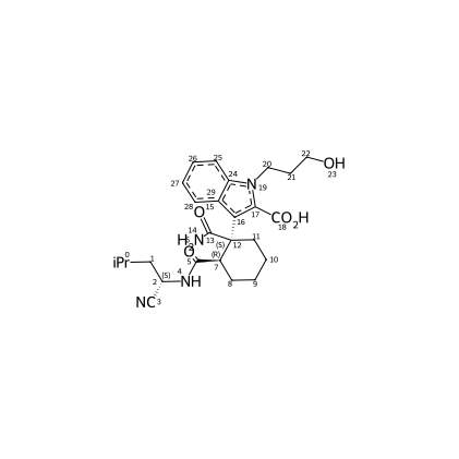 CC(C)C[C@@H](C#N)NC(=O)[C@@H]1CCCC[C@@]1(C(N)=O)c1c(C(=O)O)n(CCCO)c2ccccc12